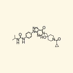 CC(C)NC(=O)Nc1ccc(-n2ncc3c(=O)n(CC4(O)CCN(C(=O)C5CC5)CC4)cnc32)cc1